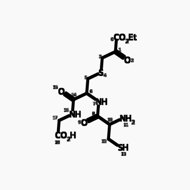 CCOC(=O)C(=O)CSCC(NC(=O)C(N)CS)C(=O)NCC(=O)O